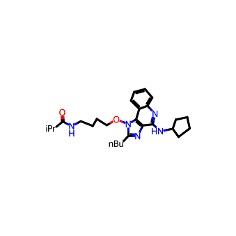 CCCCc1nc2c(NC3CCCC3)nc3ccccc3c2n1OCCCCNC(=O)C(C)C